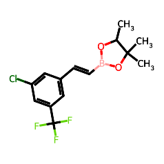 CC1OB(C=Cc2cc(Cl)cc(C(F)(F)F)c2)OC1(C)C